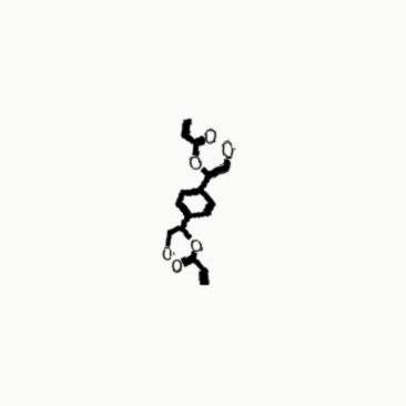 C=CC(=O)OC(C[O])c1ccc(C(C[O])OC(=O)C=C)cc1